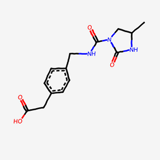 CC1CN(C(=O)NCc2ccc(CC(=O)O)cc2)C(=O)N1